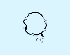 C[C@@H]1OC/C=C/CCCCCCCCCOC1=O